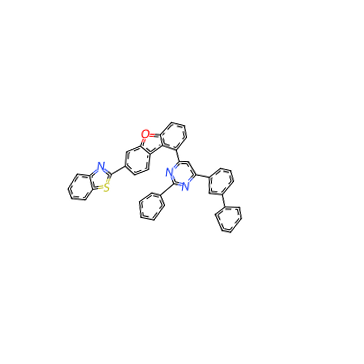 c1ccc(-c2cccc(-c3cc(-c4cccc5oc6cc(-c7nc8ccccc8s7)ccc6c45)nc(-c4ccccc4)n3)c2)cc1